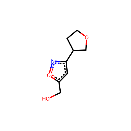 OCc1cc(C2CCOC2)no1